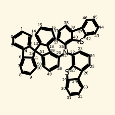 c1ccc2c(c1)-c1ccccc1C21c2ccccc2-c2c(N(c3cccc4c3sc3ccccc34)c3cccc4c3sc3ccccc34)cccc21